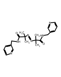 CC(C)(N=NC(C)(C)C(=O)NCc1cccnc1)C(=O)NCc1cccnc1